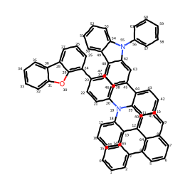 c1ccc(-c2cccc3cccc(-c4ccccc4N(c4ccc(-c5cccc6c5oc5ccccc56)cc4)c4ccccc4-c4ccc5c6ccccc6n(-c6ccccc6)c5c4)c23)cc1